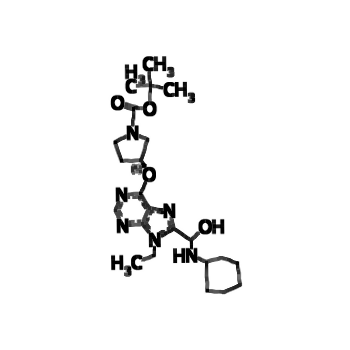 CCn1c(C(O)NC2CCCCC2)nc2c(O[C@H]3CCN(C(=O)OC(C)(C)C)C3)ncnc21